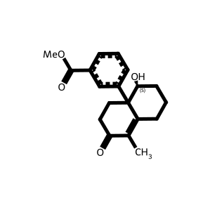 COC(=O)c1cccc(C23CCC(=O)C(C)=C2CCC[C@@H]3O)c1